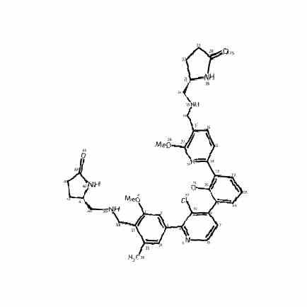 COc1cc(-c2nccc(-c3cccc(-c4ccc(CNC[C@H]5CCC(=O)N5)c(OC)n4)c3Cl)c2Cl)cc(C)c1CNC[C@H]1CCC(=O)N1